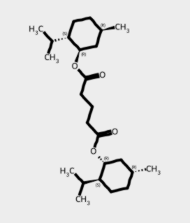 CC(C)[C@@H]1CC[C@@H](C)C[C@H]1OC(=O)CCCC(=O)O[C@@H]1C[C@H](C)CC[C@H]1C(C)C